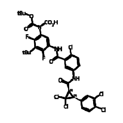 CC(C)(C)OC(=O)N(C(=O)O)c1cc(NC(=O)c2cc(NC(=O)[C@H]3[C@H](c4ccc(Cl)c(Cl)c4)C3(Cl)Cl)ccc2Cl)c(F)c(C(C)(C)C)c1F